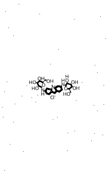 C[n+]1c2cc(N[C@H]3O[C@H](CO)[C@@H](O)[C@H](O)[C@H]3O)ccc2cc2ccc(N[C@H]3O[C@H](CO)[C@@H](O)[C@H](O)[C@H]3O)cc21.[Cl-]